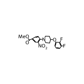 COC(=O)c1ccc(N2CCC(Oc3cccc(F)c3F)CC2)c([N+](=O)[O-])c1